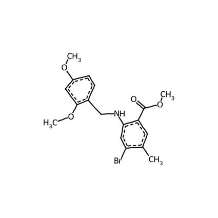 COC(=O)c1cc(C)c(Br)cc1NCc1ccc(OC)cc1OC